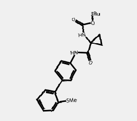 CSc1ccccc1-c1ccc(NC(=O)C2(NC(=O)OC(C)(C)C)CC2)cc1